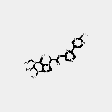 CC(=O)CN1C(=O)c2c(ncn2[C@@H](C)C(=O)Nc2cncc(-c3cnc(C(F)(F)F)nc3)n2)N(C)C1O